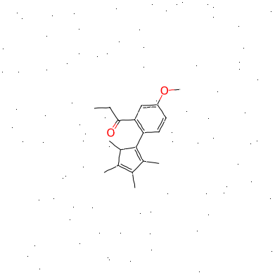 CCC(=O)c1cc(OC)ccc1C1=C(C)C(C)=C(C)C1C